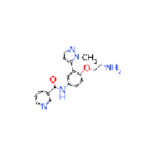 Cn1nccc1-c1cc(NC(=O)c2cccnc2)ccc1OCCN